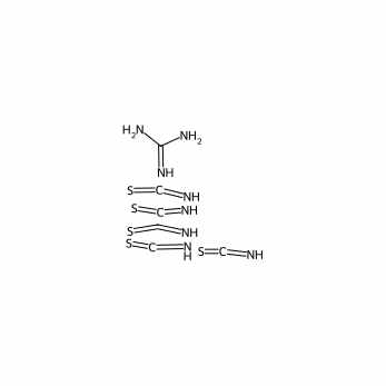 N=C(N)N.N=C=S.N=C=S.N=C=S.N=C=S.N=C=S